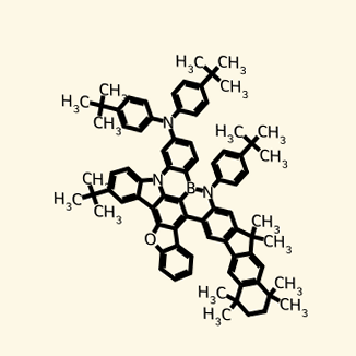 CC(C)(C)c1ccc(N2B3c4ccc(N(c5ccc(C(C)(C)C)cc5)c5ccc(C(C)(C)C)cc5)cc4-n4c5ccc(C(C)(C)C)cc5c5c6oc7ccccc7c6c(c3c54)-c3cc4c(cc32)C(C)(C)c2cc3c(cc2-4)C(C)(C)CCC3(C)C)cc1